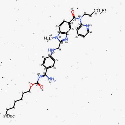 CCCCCCCCCCCCCCCCOC(=O)/N=C(\N)c1ccc(NCc2nc3cc(C(=O)N(CCC(=O)OCC)c4ccccn4)ccc3n2C)cc1